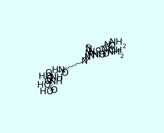 NCCN(CC(=O)O)CC(Cc1ccc(Nc2nc(N3CCCCC3)nc(N3CCN(CCCCCCCCCCC(=O)NCCCC[C@H](NC(=O)N[C@@H](CCC(=O)O)C(=O)O)C(=O)O)CC3)n2)cc1)N(CCN)CC(=O)O